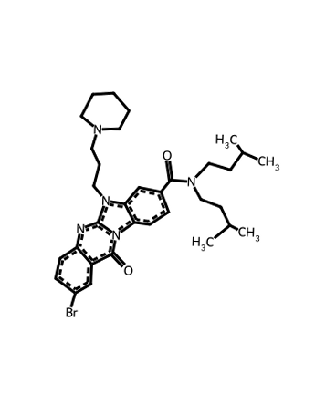 CC(C)CCN(CCC(C)C)C(=O)c1ccc2c(c1)n(CCCN1CCCCC1)c1nc3ccc(Br)cc3c(=O)n21